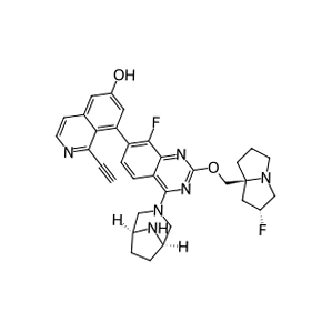 C#Cc1nccc2cc(O)cc(-c3ccc4c(N5C[C@H]6CC[C@@H](C5)N6)nc(OC[C@@]56CCCN5C[C@H](F)C6)nc4c3F)c12